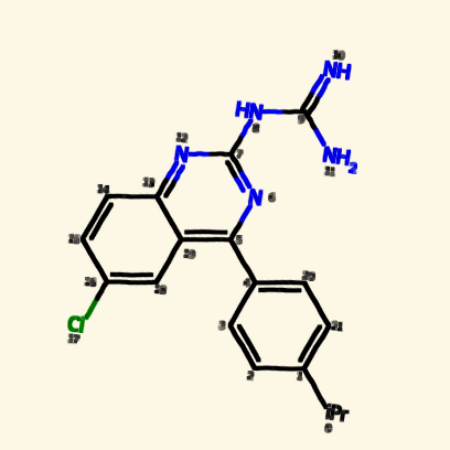 CC(C)c1ccc(-c2nc(NC(=N)N)nc3ccc(Cl)cc23)cc1